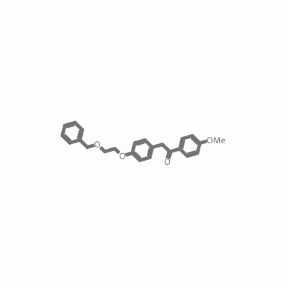 COc1ccc(C(=O)Cc2ccc(OCCOCc3ccccc3)cc2)cc1